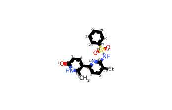 CCc1ccc(-c2ccc(=O)[nH]c2C)nc1NS(=O)(=O)c1ccccc1